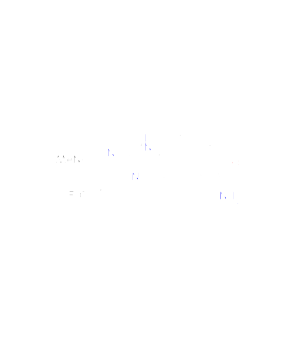 CNc1nc(Nc2ccc(C(N)=O)cc2)ncc1C(F)(F)F